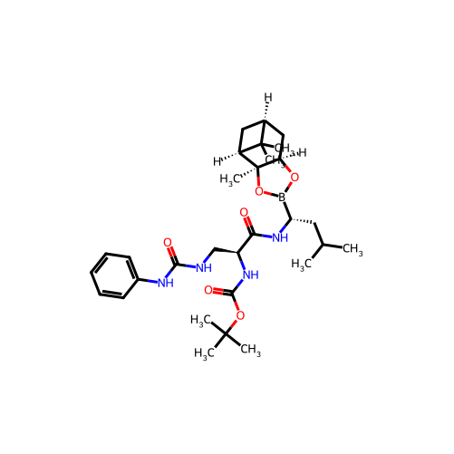 CC(C)C[C@H](NC(=O)[C@H](CNC(=O)Nc1ccccc1)NC(=O)OC(C)(C)C)B1O[C@@H]2C[C@@H]3C[C@@H](C3(C)C)[C@]2(C)O1